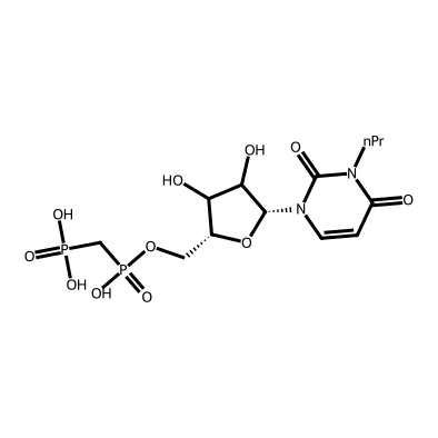 CCCn1c(=O)ccn([C@@H]2O[C@H](COP(=O)(O)CP(=O)(O)O)C(O)C2O)c1=O